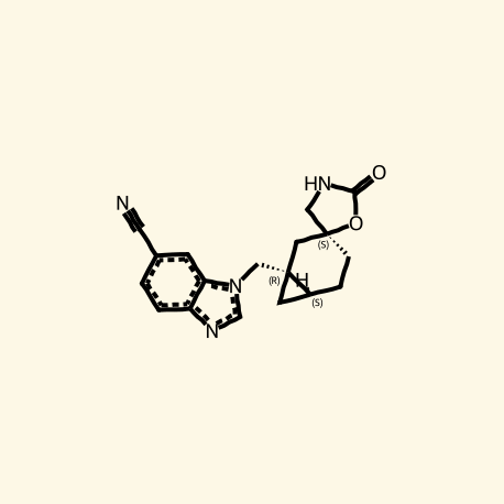 N#Cc1ccc2ncn(C[C@@]34C[C@@H]3CC[C@@]3(CNC(=O)O3)C4)c2c1